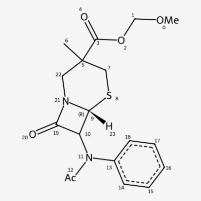 COCOC(=O)C1(C)CS[C@@H]2C(N(C(C)=O)c3ccccc3)C(=O)N2C1